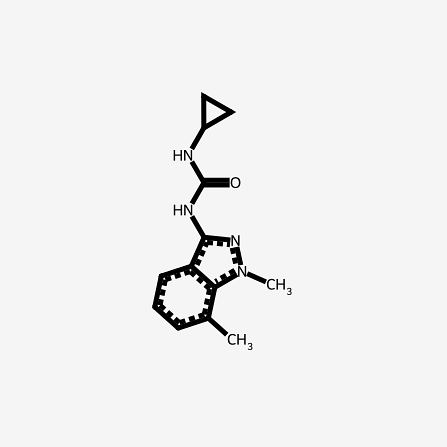 Cc1cccc2c(NC(=O)NC3CC3)nn(C)c12